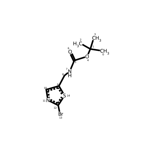 CC(C)(C)OC(=O)NCc1cnc(Br)s1